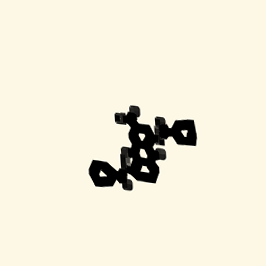 O=C(Cl)c1cc(NC(=O)c2ccccc2)c2c(c1)C(=O)c1c(NC(=O)c3ccccc3)cccc1C2=O